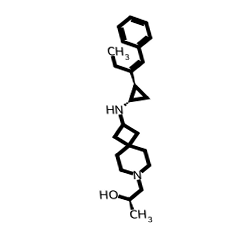 CC/C(=C\c1ccccc1)[C@H]1C[C@@H]1NC1CC2(CCN(C[C@@H](C)O)CC2)C1